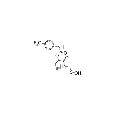 CC(C)CC(OC(=O)Nc1ccc(C(F)(F)F)cc1)C(=O)NCSO